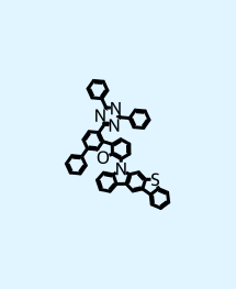 c1ccc(-c2nc(-c3ccccc3)nc(-c3ccc(-c4ccccc4)c4oc5c(-n6c7ccccc7c7cc8c(cc76)sc6ccccc68)cccc5c34)n2)cc1